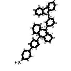 Cc1ccc(-c2ccc(-c3c4ccccc4c(-c4cccc(-n5c6ccccc6c6ccccc65)c4)c4ccccc34)cc2)cc1